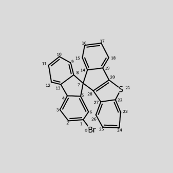 Brc1ccc2c(c1)C1(c3ccccc3-2)c2ccccc2-c2sc3ccccc3c21